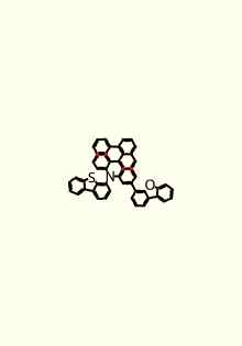 c1ccc(-c2cccc3cccc(-c4ccccc4N(c4cccc(-c5cccc6c5oc5ccccc56)c4)c4cccc5c4sc4ccccc45)c23)cc1